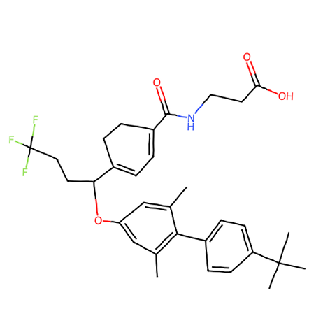 Cc1cc(OC(CCC(F)(F)F)C2=CC=C(C(=O)NCCC(=O)O)CC2)cc(C)c1-c1ccc(C(C)(C)C)cc1